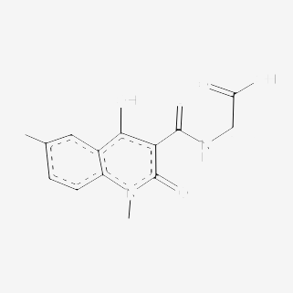 C[C@H](NC(=O)c1c(O)c2cc(F)ccc2n(C)c1=O)C(=O)O